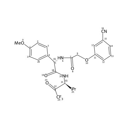 COc1ccc([C@H](NC(=O)COc2cccc(C#N)c2)C(=O)N[C@H](C(=O)C(F)(F)F)C(C)C)cc1